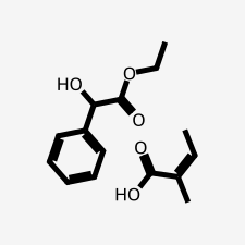 C/C=C(/C)C(=O)O.CCOC(=O)C(O)c1ccccc1